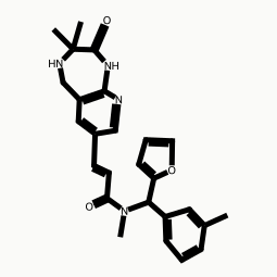 Cc1cccc(C(c2ccco2)N(C)C(=O)/C=C/c2cnc3c(c2)CNC(C)(C)C(=O)N3)c1